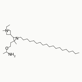 CCCCCCCCCCCCCCCCCCCN1C(C2C[N+](C)(CC)C2)C1(C)CCOC(C)N